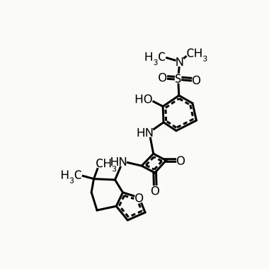 CN(C)S(=O)(=O)c1cccc(Nc2c(NC3c4occc4CCC3(C)C)c(=O)c2=O)c1O